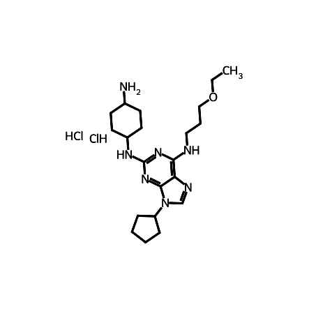 CCOCCCNc1nc(NC2CCC(N)CC2)nc2c1ncn2C1CCCC1.Cl.Cl